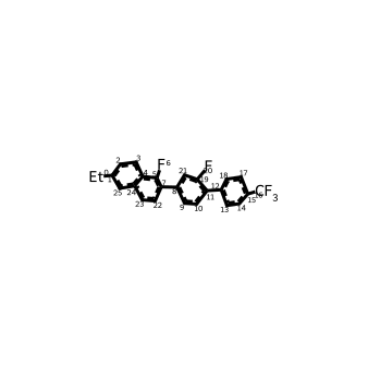 CCc1ccc2c(F)c(-c3ccc(-c4ccc(C(F)(F)F)cc4)c(F)c3)ccc2c1